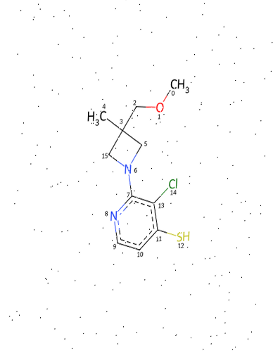 COCC1(C)CN(c2nccc(S)c2Cl)C1